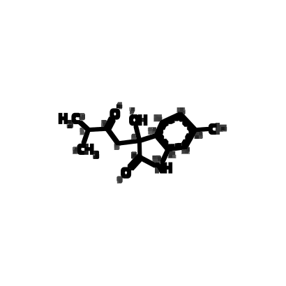 CC(C)C(=O)CC1(O)C(=O)Nc2cc(Cl)ccc21